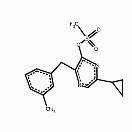 Cc1cccc(Cc2ncc(C3CC3)nc2OS(=O)(=O)C(F)(F)F)c1